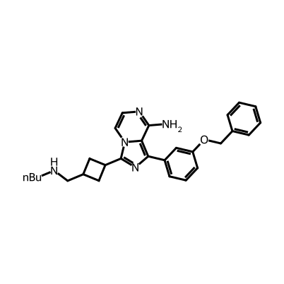 CCCCNCC1CC(c2nc(-c3cccc(OCc4ccccc4)c3)c3c(N)nccn23)C1